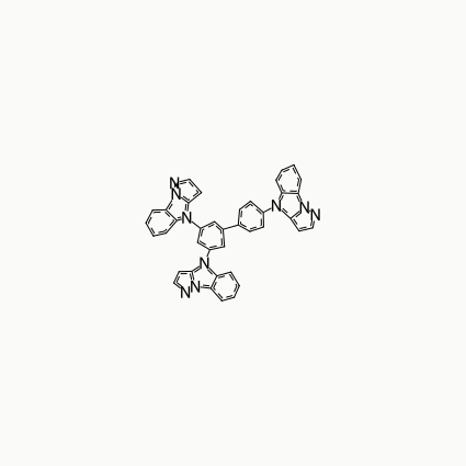 c1ccc2c(c1)n(-c1ccc(-c3cc(-n4c5ccccc5n5nccc45)cc(-n4c5ccccc5n5nccc45)c3)cc1)c1ccnn21